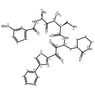 COc1cccc(C(=O)N[C@H](C(=O)N(C)[C@@H](CC(C)C)C(=O)NC(CC2CCCNC2=O)C(=O)C(=O)c2nc(-c3ccccc3)cs2)C(C)(C)C)c1